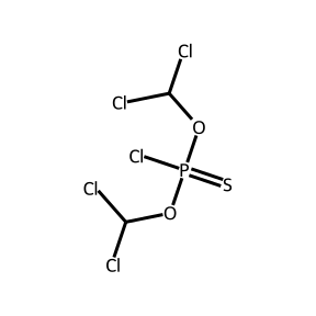 S=P(Cl)(OC(Cl)Cl)OC(Cl)Cl